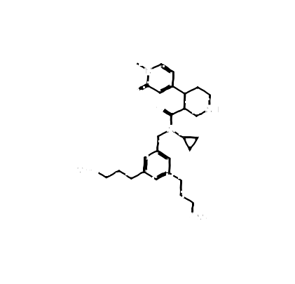 COCCCc1cc(CCCOC)cc(CN(C(=O)C2CNCCC2c2ccn(C)c(=O)c2)C2CC2)c1